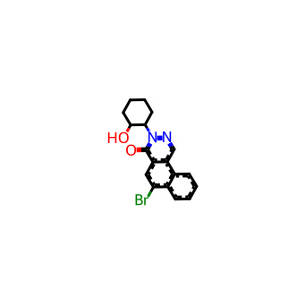 O=c1c2cc(Br)c3ccccc3c2cnn1C1CCCCC1O